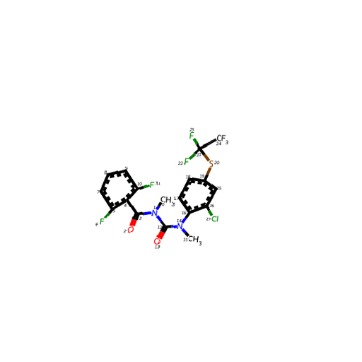 CN(C(=O)c1c(F)cccc1F)C(=O)N(C)c1ccc(SC(F)(F)C(F)(F)F)cc1Cl